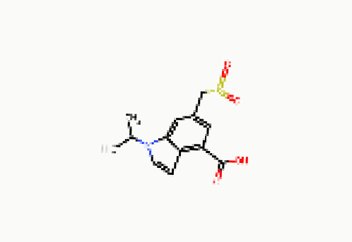 CC(C)n1ccc2c(C(=O)O)cc(C[SH](=O)=O)cc21